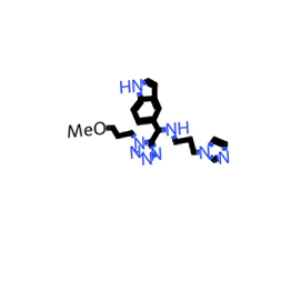 COCCCn1nnnc1C(NCCCn1ccnc1)c1ccc2[nH]ccc2c1